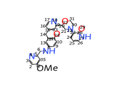 COc1ccnc(CNc2ccc3c(c2)Cc2ccnc(C4CN(c5ccc[nH]c5=O)CCO4)c2O3)c1